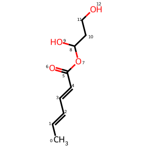 C/C=C/C=C/C(=O)OC(O)CCO